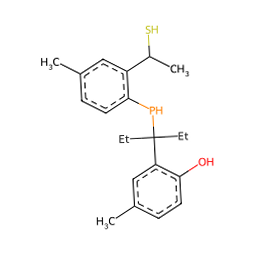 CCC(CC)(Pc1ccc(C)cc1C(C)S)c1cc(C)ccc1O